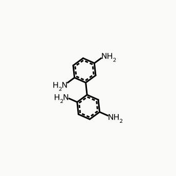 Nc1ccc(N)c(-c2cc(N)ccc2N)c1